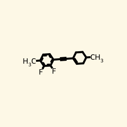 Cc1ccc(C#CC2=CCC(C)CC2)c(F)c1F